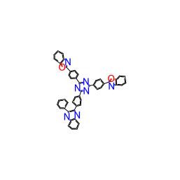 c1ccc(-c2nc3ccccc3nc2-c2ccc(-c3nc(-c4ccc(-c5nc6ccccc6o5)cc4)nc(-c4ccc(-c5nc6ccccc6o5)cc4)n3)cc2)cc1